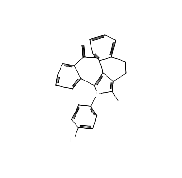 C=C(C)c1ccccc1-c1c2c(c(C)n1-c1ccc(O)cc1)CCc1ccccc1-2